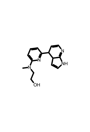 CN(CCO)c1cccc(C2C=CN=C3NC=CC32)n1